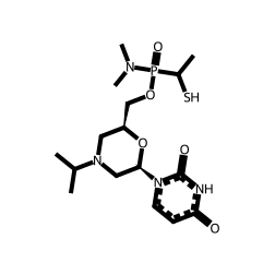 CC(C)N1C[C@@H](COP(=O)(C(C)S)N(C)C)O[C@@H](n2ccc(=O)[nH]c2=O)C1